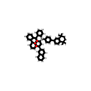 CC1(C)CCC(C)(C)c2cc(-c3ccc(N(c4cccc(-c5ccc6ccccc6c5)c4)c4ccccc4-c4cc5ccccc5c5ccccc45)cc3)ccc21